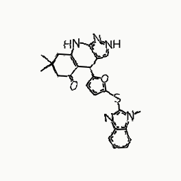 Cn1c(Sc2ccc([C@H]3C4=C(CC(C)(C)CC4=O)Nc4n[nH]cc43)o2)nc2ccccc21